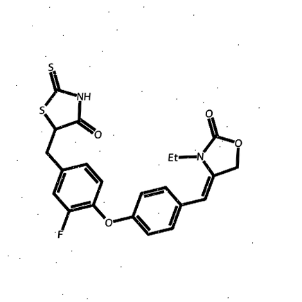 CCN1C(=O)OC/C1=C/c1ccc(Oc2ccc(CC3SC(=S)NC3=O)cc2F)cc1